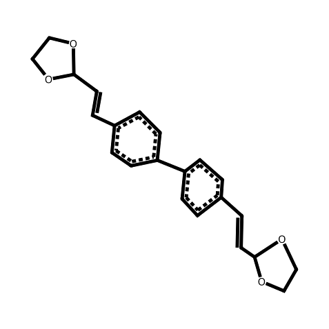 C(=C\C1OCCO1)/c1ccc(-c2ccc(/C=C/C3OCCO3)cc2)cc1